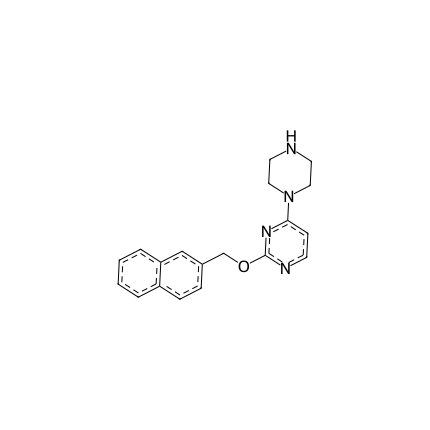 c1ccc2cc(COc3nccc(N4CCNCC4)n3)ccc2c1